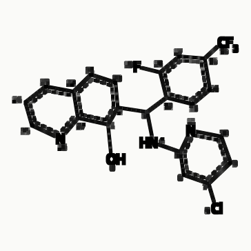 Oc1c(C(Nc2cc(Cl)ccn2)c2ccc(C(F)(F)F)cc2F)ccc2cccnc12